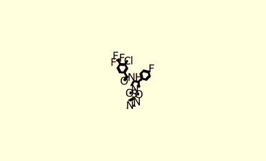 Cn1cnc(S(=O)(=O)N2CC(NC(=O)c3ccc(C(F)(F)F)c(Cl)c3)C(c3ccc(F)cc3)C2)c1